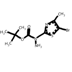 Cc1nc(N(N)C(=O)OC(C)(C)C)sc1Br